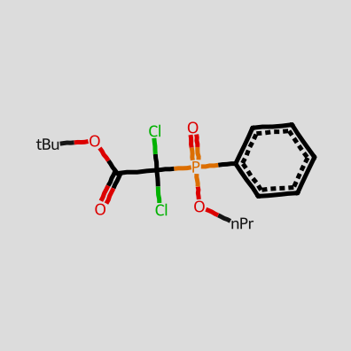 CCCOP(=O)(c1ccccc1)C(Cl)(Cl)C(=O)OC(C)(C)C